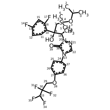 CC(C)O[Si](C)(C)C[C@@](O)(c1ccc(F)cc1F)[C@@H](C)n1ncn(-c2ccc(OCC(F)(F)C(F)F)cc2)c1=O